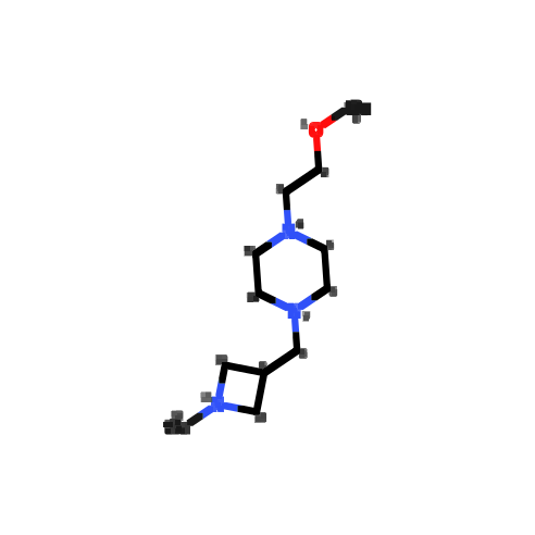 CC(C)(C)OCCN1CCN(CC2CN(C(C)(C)C)C2)CC1